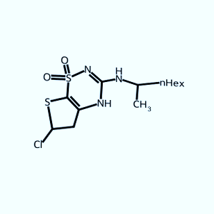 CCCCCCC(C)NC1=NS(=O)(=O)C2=C(CC(Cl)S2)N1